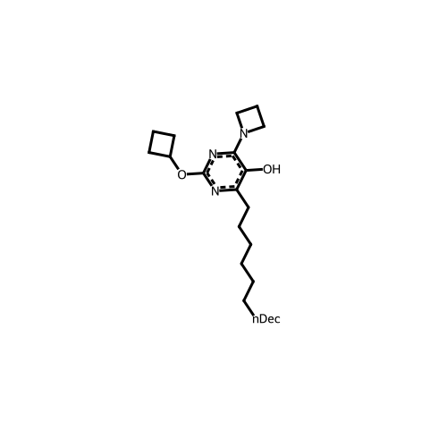 CCCCCCCCCCCCCCCCc1nc(OC2CCC2)nc(N2CCC2)c1O